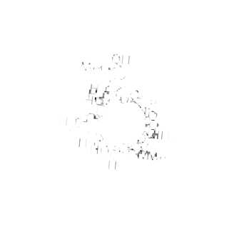 C=CCC1C=C(C)C(O)C(C)CC(OC)C2OC(O)(C(=O)C(=O)N3CCCCC3C(=O)OC(C(C)=CC3CCC(O)C(OC)C3)C(C)C(O)CC1=O)C(C)CC2OC